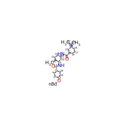 CCCCOc1ccc(C(=O)Nc2cc(NC(=O)c3cccc(N(C)C)c3)ccc2C)cc1